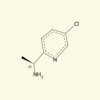 C[C@H](N)c1ccc(Cl)cn1